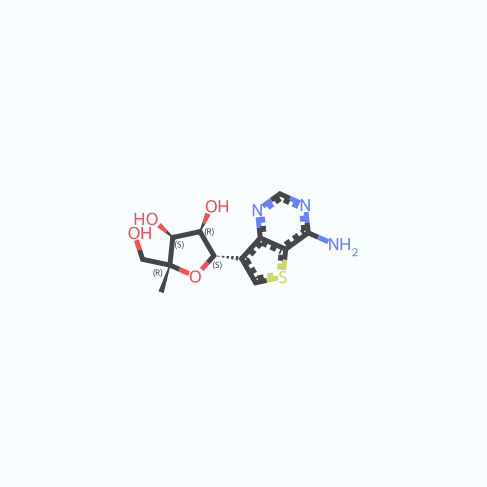 C[C@]1(CO)O[C@@H](c2csc3c(N)ncnc23)[C@H](O)[C@@H]1O